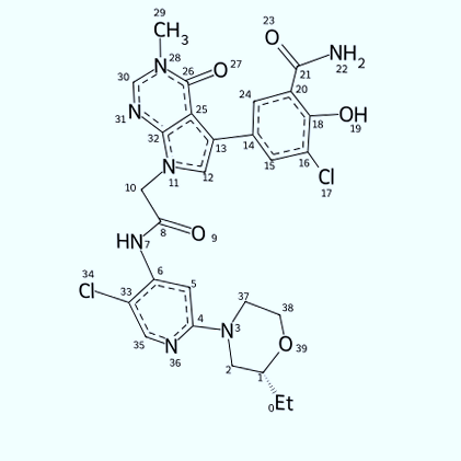 CC[C@@H]1CN(c2cc(NC(=O)Cn3cc(-c4cc(Cl)c(O)c(C(N)=O)c4)c4c(=O)n(C)cnc43)c(Cl)cn2)CCO1